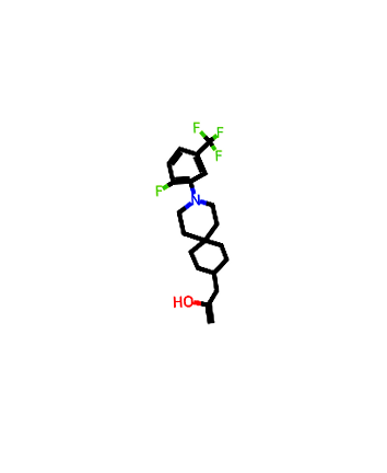 C=C(O)CC1CCC2(CC1)CCN(c1cc(C(F)(F)F)ccc1F)CC2